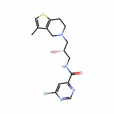 Cc1csc2c1CN(C[C@@H](O)CNC(=O)c1cc(Cl)ncn1)CC2